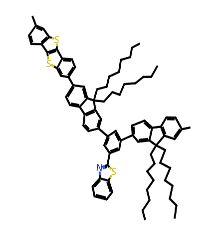 CCCCCCCCC1(CCCCCCCC)c2cc(C)ccc2-c2ccc(-c3cc(-c4ccc5c(c4)C(CCCCCCCC)(CCCCCCCC)c4cc(-c6ccc7c(c6)sc6c8ccc(C)cc8sc76)ccc4-5)cc(-c4nc5ccccc5s4)c3)cc21